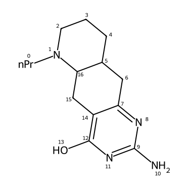 CCCN1CCCC2Cc3nc(N)nc(O)c3CC21